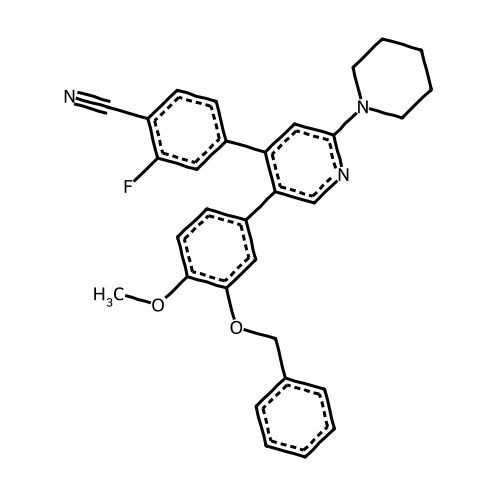 COc1ccc(-c2cnc(N3CCCCC3)cc2-c2ccc(C#N)c(F)c2)cc1OCc1ccccc1